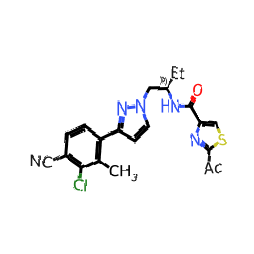 CC[C@H](Cn1ccc(-c2ccc(C#N)c(Cl)c2C)n1)NC(=O)c1csc(C(C)=O)n1